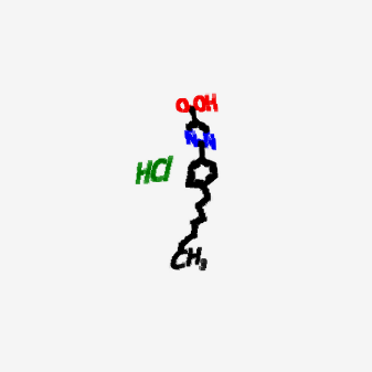 CCCCCCCc1ccc(-c2ncc(C(=O)O)cn2)cc1.Cl